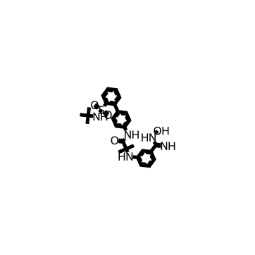 CC(C)(C)NS(=O)(=O)c1ccccc1-c1ccc(NC(=O)C(C)(C)Nc2cccc(C(=N)NO)c2)cc1